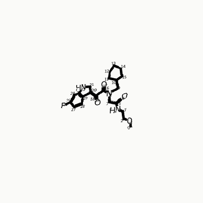 COCCNC(=O)CN(CC1CCCCC1)C(=O)C(=O)C1CNc2cc(F)ccc21